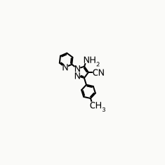 Cc1ccc(-c2nn(-c3ccccn3)c(N)c2C#N)cc1